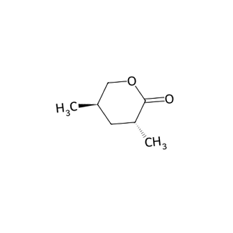 C[C@H]1COC(=O)[C@H](C)C1